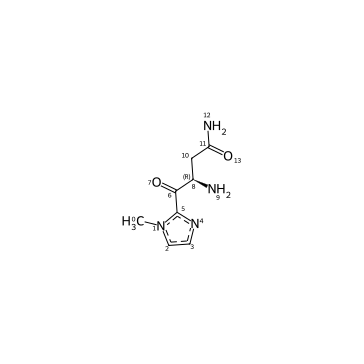 Cn1ccnc1C(=O)[C@H](N)CC(N)=O